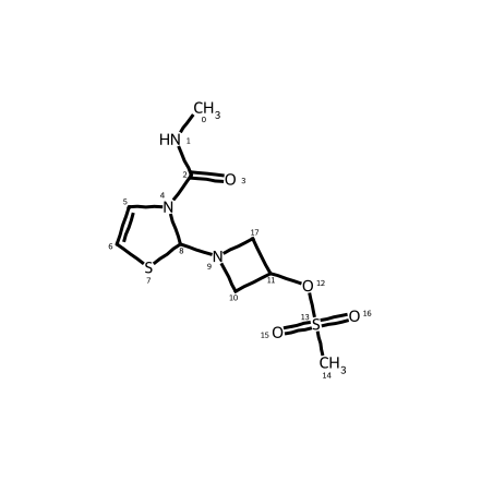 CNC(=O)N1C=CSC1N1CC(OS(C)(=O)=O)C1